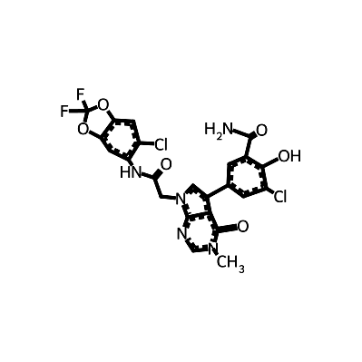 Cn1cnc2c(c(-c3cc(Cl)c(O)c(C(N)=O)c3)cn2CC(=O)Nc2cc3c(cc2Cl)OC(F)(F)O3)c1=O